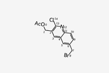 CC(=O)OCc1cc2cc(CBr)ccc2nc1Cl